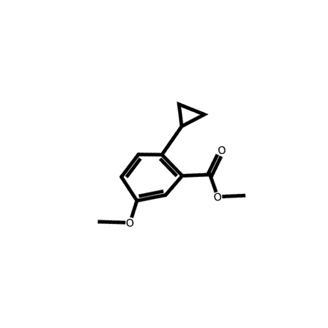 COC(=O)c1cc(OC)ccc1C1CC1